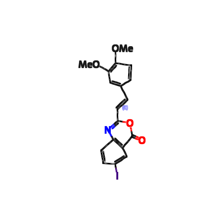 COc1ccc(/C=C/c2nc3ccc(I)cc3c(=O)o2)cc1OC